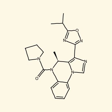 CC(C)c1nc(-c2ncn3c2[C@H](C)N(C(=O)N2CCCC2)c2ccccc2-3)no1